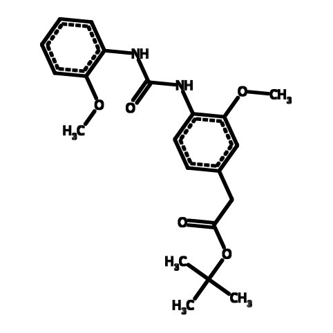 COc1ccccc1NC(=O)Nc1ccc(CC(=O)OC(C)(C)C)cc1OC